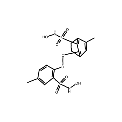 Cc1ccc(OOc2c3cc(C)c(c2S(=O)(=O)NO)CC3)c(S(=O)(=O)NO)c1